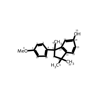 COc1ccc(C2(C)CC(C)(C)c3ccc(O)cc32)cc1